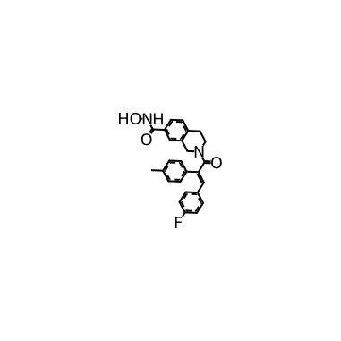 Cc1ccc(/C(=C\c2ccc(F)cc2)C(=O)N2CCc3ccc(C(=O)NO)cc3C2)cc1